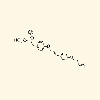 C=CCOc1ccc(/C=C/COc2ccc(C[C@H](OCC)C(=O)O)cc2)cc1